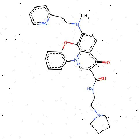 CN(CCc1ccccn1)c1ccc2c(=O)c(C(=O)NCCN3CCCC3)cn3c2c1Oc1ccccc1-3